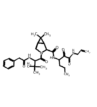 C=CCNC(=O)C(=O)C(CCC)NC(=O)C1C2C(CN1C(=O)C(NC(=O)Cc1ccccc1)C(C)(C)C)C2(C)C